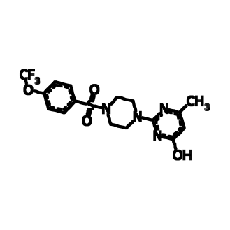 Cc1cc(O)nc(N2CCN(S(=O)(=O)c3ccc(OC(F)(F)F)cc3)CC2)n1